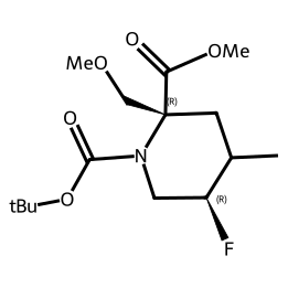 COC[C@@]1(C(=O)OC)CC(C)[C@@H](F)CN1C(=O)OC(C)(C)C